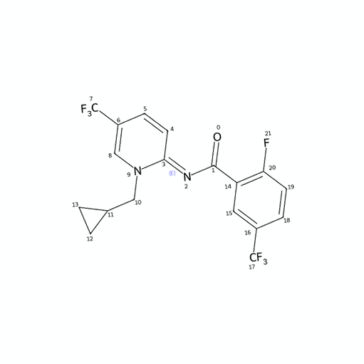 O=C(/N=c1\ccc(C(F)(F)F)cn1CC1CC1)c1cc(C(F)(F)F)ccc1F